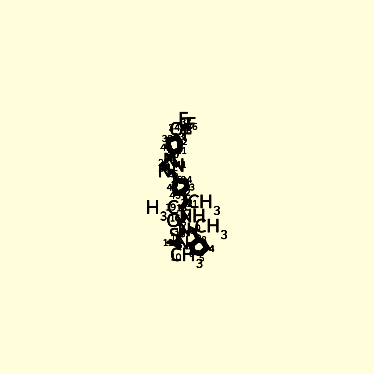 CCc1ccccc1-n1c(C)cs/c1=N\C(=O)N/C(C)=C(\C)c1ccc(-c2ncn(-c3ccc(OC(F)(F)F)cc3)n2)cc1